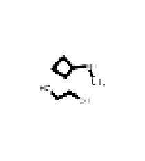 CNC1CCC1.OCCO